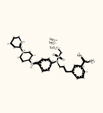 CCOC(=O)CS(=O)(=O)N(C/C=C/c1cccc(C(=N)N)c1)c1ccc(OC2CCN(C3=NCCCC3)CC2)cc1.Cl.Cl